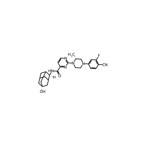 C[C@@H]1CN(c2ccc(C#N)c(F)c2)CCN1c1nccc(C(=O)N[C@H]2C3CC4CC2C[C@](O)(C4)C3)n1